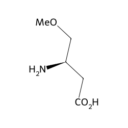 COC[C@H](N)CC(=O)O